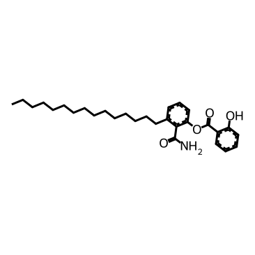 CCCCCCCCCCCCCCCc1cccc(OC(=O)c2ccccc2O)c1C(N)=O